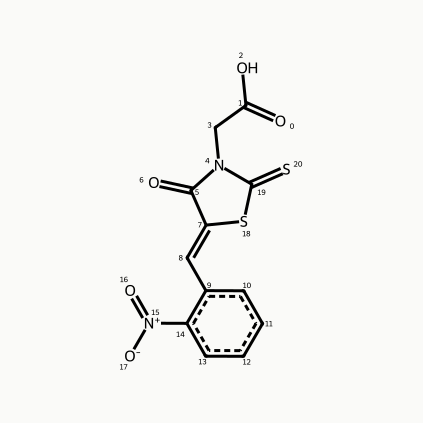 O=C(O)CN1C(=O)C(=Cc2ccccc2[N+](=O)[O-])SC1=S